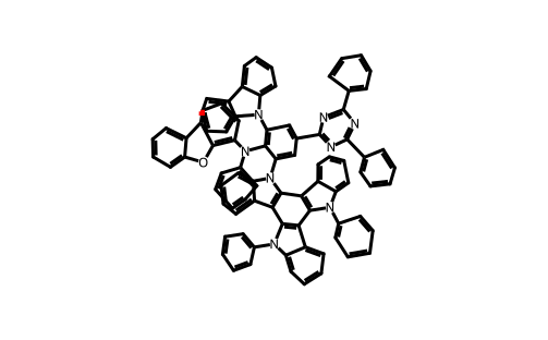 c1ccc(-c2nc(-c3ccccc3)nc(-c3cc(-n4c5ccccc5c5ccccc54)c(N(c4ccccc4)c4cccc5c4oc4ccccc45)c(-n4c5ccccc5c5c6c(c7ccccc7n6-c6ccccc6)c6c(c7ccccc7n6-c6ccccc6)c54)c3)n2)cc1